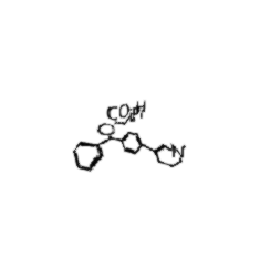 CC(C)C[C@H](OC(c1ccccc1)c1ccc(C2CCCN(C)C2)cc1)C(=O)O